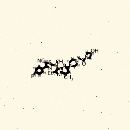 CCc1nc2c(C)cc(N3CCN(CC(=O)N4CC(O)C4)CC3)nn2c1N(C)c1nc(-c2ccc(F)cc2)c(C#N)s1